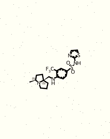 C[C@H]1CC[C@]2(CNc3ccc(S(=O)(=O)Nc4nccs4)cc3C(F)(F)F)CCCN12